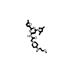 COCCN(C)C1CCN(CC(=O)Nc2cc(-n3nc(C)cc3C)nc(-c3ccc(C)o3)n2)CC1